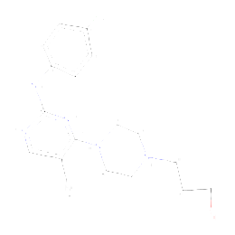 O=[N+]([O-])c1cnc(Nc2ccc(Cl)cc2)nc1N1CCN(CCCO)CC1